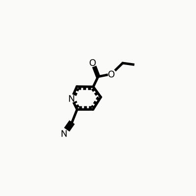 CCOC(=O)c1ccc(C#N)nc1